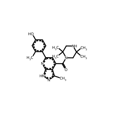 Cc1cc(O)ccc1-c1cc(C(=O)N2CC(C)(C)NCC2(C)C)c2c(C)n[nH]c2n1